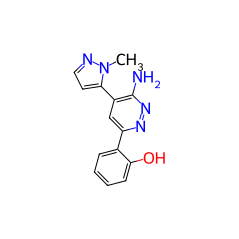 Cn1nccc1-c1cc(-c2ccccc2O)nnc1N